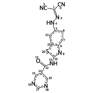 N#CC(C#N)=NNc1ccc2nc(NC(=O)c3cncnc3)sc2c1